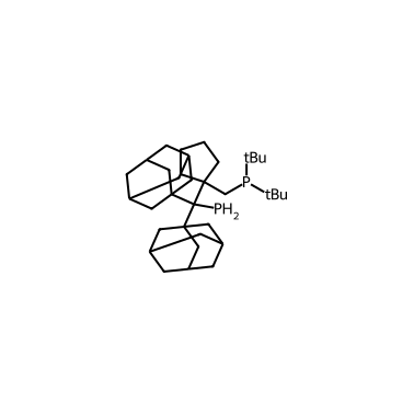 CC(C)(C)P(CC1(C(P)(C23CC4CC(CC(C4)C2)C3)C23CC4CC(CC(C4)C2)C3)CCCC1)C(C)(C)C